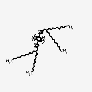 CCCCCCCCCCCCC(CCCCCCCCCC)Cc1csc(-c2c3nnsc3c(-c3cc(CC(CCCCCCCCCC)CCCCCCCCCCCC)cs3)c3nnsc23)c1